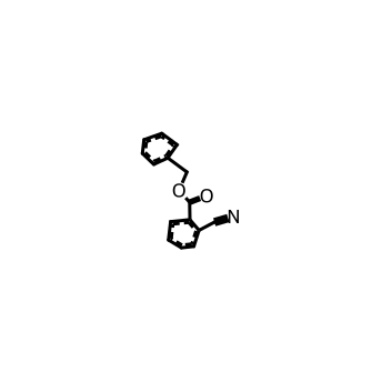 N#Cc1ccccc1C(=O)OCc1ccccc1